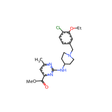 CCOc1cc(CN2CCC(Nc3nc(C)cc(C(=O)OC)n3)CC2)ccc1Cl